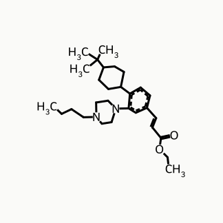 CCCCN1CCN(c2cc(C=CC(=O)OCC)ccc2C2CCC(C(C)(C)C)CC2)CC1